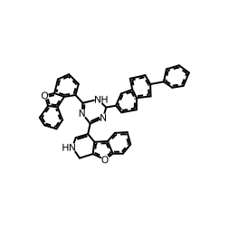 C1=C(C2=NC(c3ccc4cc(-c5ccccc5)ccc4c3)NC(c3cccc4oc5ccccc5c34)=N2)c2c(oc3ccccc23)CN1